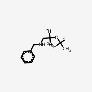 [2H]C([2H])(C)OC([2H])([2H])CNCc1ccccc1